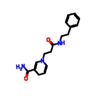 NC(=O)C1=CN(CCC(=O)NCCc2ccccc2)C=CC1